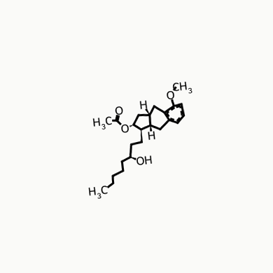 CCCCC[C@H](O)CC[C@@H]1[C@H]2Cc3cccc(OC)c3C[C@H]2C[C@H]1OC(C)=O